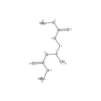 CCCCOC(=O)OCC(C)OC(=O)OCCCC